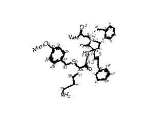 CNC(=O)[C@H](Cc1ccccc1)N1CC[C@](CCc2ccccc2)(NC(=O)[C@H](CCCCN)SCc2ccc(OC)cc2)C1=O